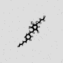 CCCCCC1CCC(CCc2c(C)cc(OCCCC)c(F)c2F)CC1